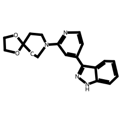 c1ccc2c(-c3ccnc(N4CCC5(CC4)OCCO5)c3)n[nH]c2c1